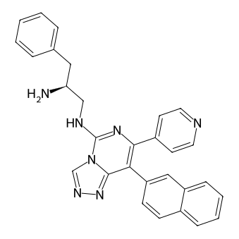 N[C@H](CNc1nc(-c2ccncc2)c(-c2ccc3ccccc3c2)c2nncn12)Cc1ccccc1